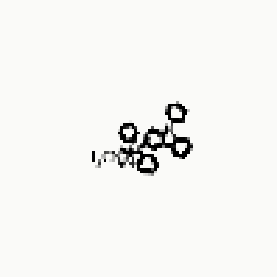 Cn1cnc([Si](c2ccccc2)(c2ccccc2)c2ccc3c(c2)c2ccccc2n3-c2ccccc2)c1